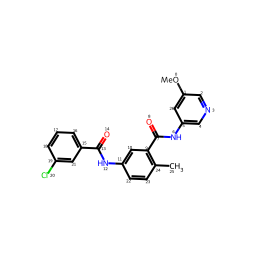 COc1cncc(NC(=O)c2cc(NC(=O)c3cccc(Cl)c3)ccc2C)c1